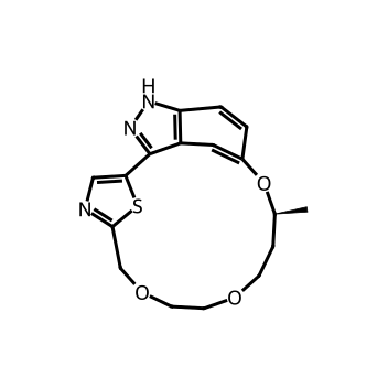 C[C@H]1CCOCCOCc2ncc(s2)-c2n[nH]c3ccc(cc23)O1